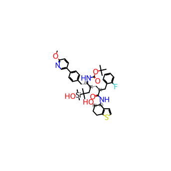 COc1ccc(-c2ccc(C[C@H](NC(=O)OC(C)(C)C)[C@H](C[C@@H](Cc3ccccc3F)C(=O)N[C@H]3c4ccsc4CC[C@H]3O)CC(C)(C)[Si](C)(C)O)cc2)cn1